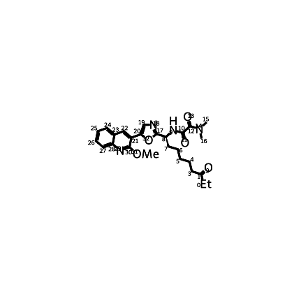 CCC(=O)CCCCC[C@H](NC(=O)C(=O)N(C)C)c1ncc(-c2cc3ccccc3nc2OC)o1